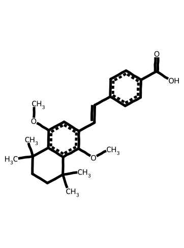 COc1cc(/C=C/c2ccc(C(=O)O)cc2)c(OC)c2c1C(C)(C)CCC2(C)C